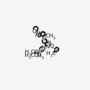 Cc1ccc2c(cnn2C2CCCCO2)c1N1CCc2c(nc(OC[C@@H]3CCCN3C)nc2N2CCN(C(=O)OC(C)(C)C)CC2)C1